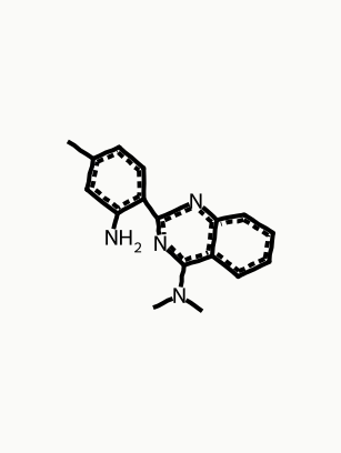 Cc1ccc(-c2nc(N(C)C)c3ccccc3n2)c(N)c1